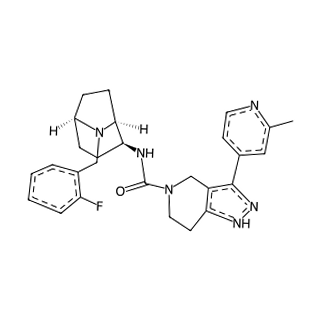 Cc1cc(-c2n[nH]c3c2CN(C(=O)N[C@H]2CC[C@H]4CC[C@@H]2N4Cc2ccccc2F)CC3)ccn1